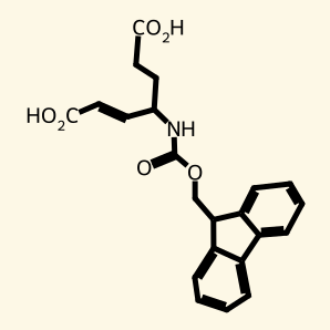 O=C(O)/C=C/C(CCC(=O)O)NC(=O)OCC1c2ccccc2-c2ccccc21